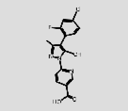 Cc1nn(-c2ccc(C(=O)O)cn2)c(O)c1-c1ccc(Cl)cc1F